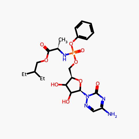 CCC(CC)COC(=O)[C@H](C)NP(=O)(OC[C@H]1O[C@@H](n2ncc(N)nc2=O)C(O)C1O)Oc1ccccc1